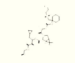 C=CCNC(=O)C(=O)C(CC1CC1)NC(=O)[C@@H]1[C@@H]2C(CN1C(=O)[C@@H](NC(=O)NC1(CS(=O)(=O)CCC(C)C)CCCCC1)C(C)(C)C)C2(C)C